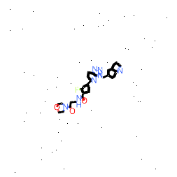 O=C(NCCC(=O)N1CCOCC1)c1ccc(-c2ccc3nnn(Cc4ccc5ncccc5c4)c3n2)cc1F